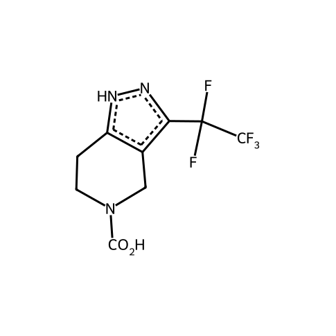 O=C(O)N1CCc2[nH]nc(C(F)(F)C(F)(F)F)c2C1